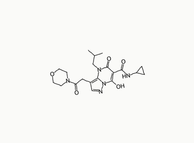 CC(C)Cn1c(=O)c(C(=O)NC2CC2)c(O)n2ncc(CC(=O)N3CCOCC3)c12